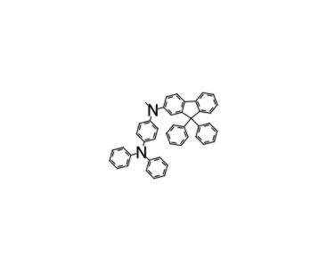 CN(c1ccc(N(c2ccccc2)c2ccccc2)cc1)c1ccc2c(c1)C(c1ccccc1)(c1ccccc1)c1ccccc1-2